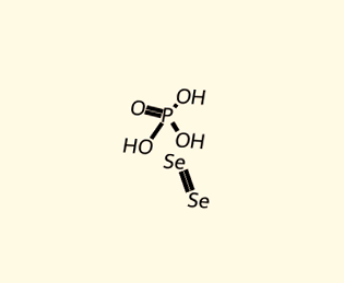 O=P(O)(O)O.[Se]=[Se]